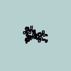 CCOC(=O)N1CCN(C(=O)C(CCC(=O)OCCN(C)C)NC(=O)c2cc(OCC(=O)N3CCCC3C(=O)NC3CCC3)c3ccc(C)cc3n2)CC1